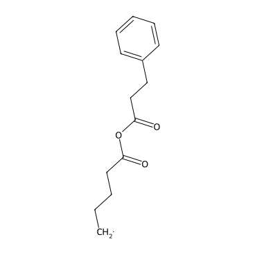 [CH2]CCCC(=O)OC(=O)CCc1ccccc1